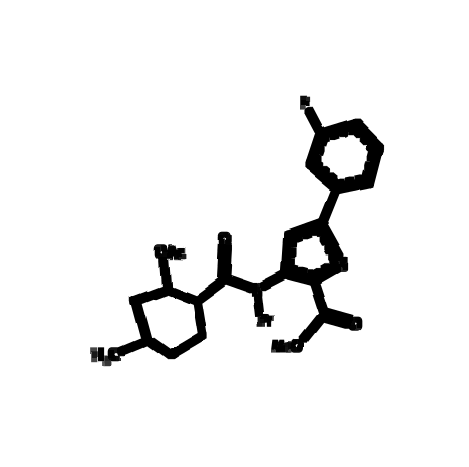 COC(=O)c1sc(-c2cccc(F)c2)cc1N(C(=O)C1CCC(C)CC1OC(C)=O)C(C)C